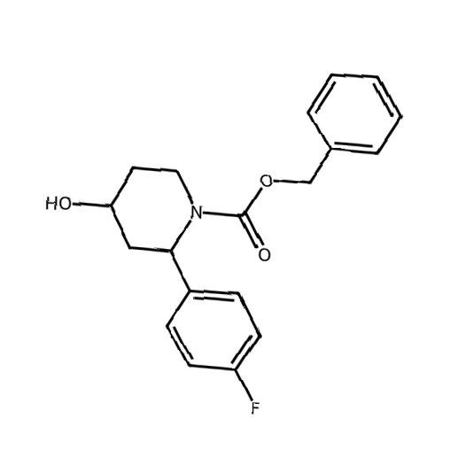 O=C(OCc1ccccc1)N1CCC(O)CC1c1ccc(F)cc1